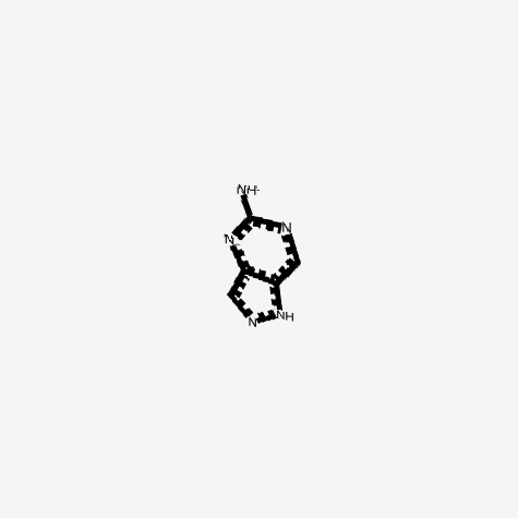 [NH]c1ncc2[nH]ncc2n1